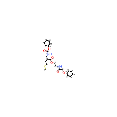 CSCCC(CNC(=O)Oc1ccccc1)C(=O)OCCNC(=O)COc1ccccc1